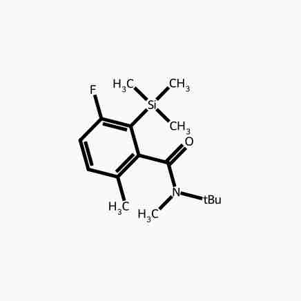 Cc1ccc(F)c([Si](C)(C)C)c1C(=O)N(C)C(C)(C)C